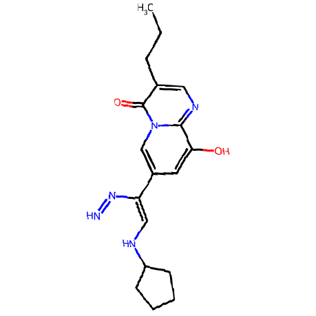 CCCc1cnc2c(O)cc(/C(=C/NC3CCCC3)N=N)cn2c1=O